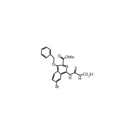 CCOC(=O)NC(=S)Nc1nc(C(=O)OC)c(OCc2ccccc2)c2ccc(Br)cc12